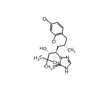 C[C@@H](Cc1ccc(Cl)cc1Cl)C[C@H]([C@@H](O)C(C)(C)C)n1nc[nH]c1=S